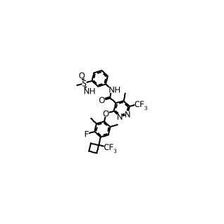 Cc1cc(C2(C(F)(F)F)CCC2)c(F)c(C)c1Oc1nnc(C(F)(F)F)c(C)c1C(=O)Nc1cccc(S(C)(=N)=O)c1